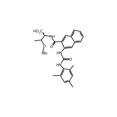 Cc1cc(C)c(NC(=O)Nc2cc3ccccc3cc2C(=O)N[C@H](C(=O)O)C(C)OC(C)(C)C)c(C)c1